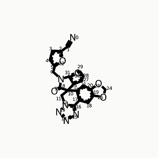 N#Cc1ccc(CN2C(=O)C3(Cn4nnnc4-c4cc5c(cc43)OCO5)c3ccccc32)o1